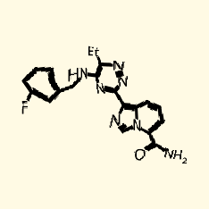 CCc1nnc(-c2ncn3c(C(N)=O)cccc23)nc1NCc1cccc(F)c1